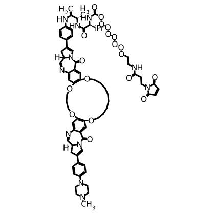 C=C(Nc1ccc(C2=CN3C(=O)c4cc5c(cc4N=C[C@@H]3C2)OCCCOc2cc3c(cc2OCCCCCCCCO5)C(=O)N2C=C(c4ccc(N5CCN(C)CC5)cc4)C[C@H]2C=N3)cc1)[C@H](C)NC(=O)[C@@H](NC(=O)OOOOOOOOCCNC(=O)CCN1C(=O)C=CC1=O)C(C)C